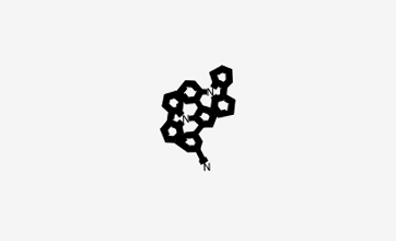 N#Cc1cccc(-c2cccc(-c3ccccc3-n3c4ccccc4c4ccccc43)c2-n2c3ccccc3c3ccccc32)c1